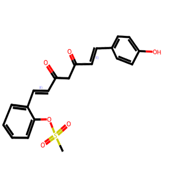 CS(=O)(=O)Oc1ccccc1/C=C/C(=O)CC(=O)/C=C/c1ccc(O)cc1